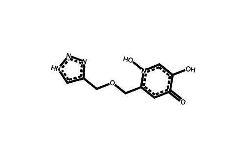 O=c1cc(COCc2c[nH]nn2)n(O)cc1O